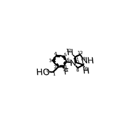 OCc1cccc(N2C[C@@H]3C[C@H]2CN3)c1F